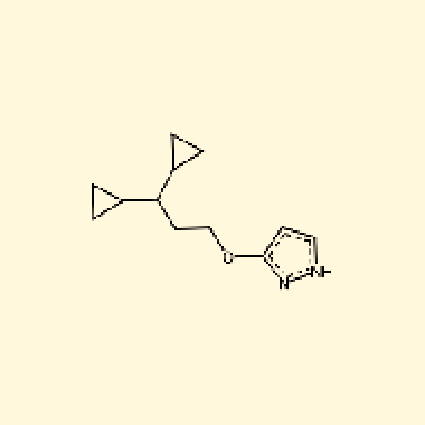 c1cc(OCCC(C2CC2)C2CC2)n[nH]1